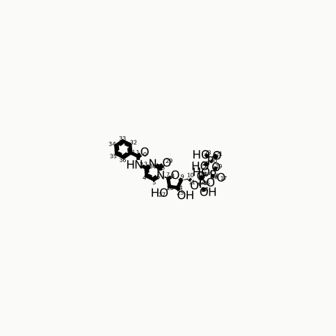 O=C(Nc1ccn([C@@H]2O[C@H](COP(=O)(O)OP(=O)(O)OP(=O)(O)O)C(O)[C@@H]2O)c(=O)n1)c1ccccc1